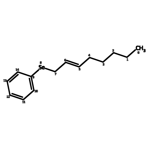 CCCCCC=CC[Se]c1ccccc1